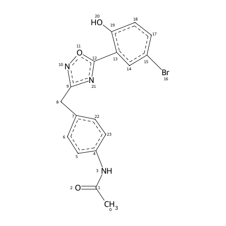 CC(=O)Nc1ccc(Cc2noc(-c3cc(Br)ccc3O)n2)cc1